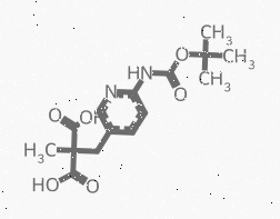 CC(C)(C)OC(=O)Nc1ccc(CC(C)(C(=O)O)C(=O)O)cn1